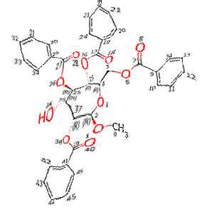 CO[C@@H]1O[C@H](COC(=O)c2ccccc2)[C@@H](OC(=O)c2ccccc2)[C@H](OC(=O)c2ccccc2)[C@@H](O)[C@H]1OC(=O)c1ccccc1